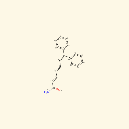 NC(=O)C=CC=CC=C(c1ccccc1)c1ccccc1